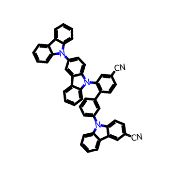 N#Cc1ccc(-c2cccc(-n3c4ccccc4c4cc(C#N)ccc43)c2)c(-n2c3ccccc3c3cc(-n4c5ccccc5c5ccccc54)ccc32)c1